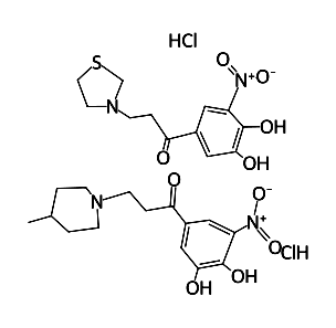 CC1CCN(CCC(=O)c2cc(O)c(O)c([N+](=O)[O-])c2)CC1.Cl.Cl.O=C(CCN1CCSC1)c1cc(O)c(O)c([N+](=O)[O-])c1